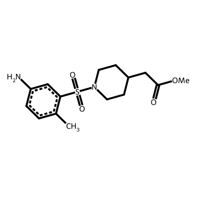 COC(=O)CC1CCN(S(=O)(=O)c2cc(N)ccc2C)CC1